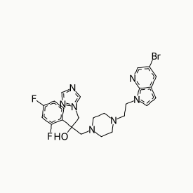 OC(CN1CCN(CCn2ccc3cc(Br)cnc32)CC1)(Cn1cncn1)c1ccc(F)cc1F